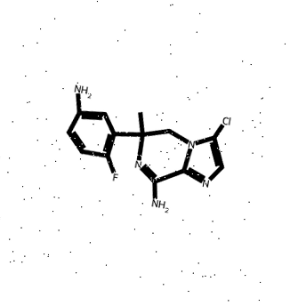 CC1(c2cc(N)ccc2F)Cn2c(Cl)cnc2C(N)=N1